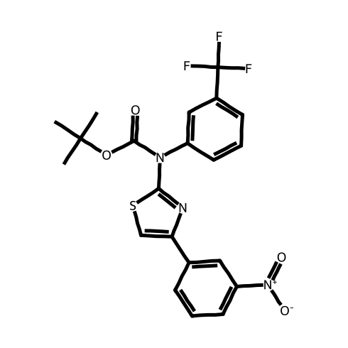 CC(C)(C)OC(=O)N(c1cccc(C(F)(F)F)c1)c1nc(-c2cccc([N+](=O)[O-])c2)cs1